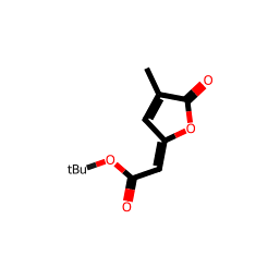 CC1=CC(=CC(=O)OC(C)(C)C)OC1=O